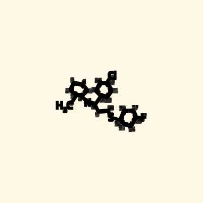 Cc1ccccc1N=C(C=CSc1ccc(F)cc1)c1ccc(Cl)cc1